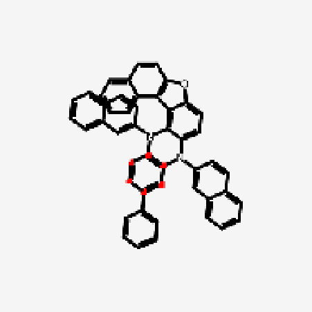 c1ccc(-c2ccc(N(c3ccc4ccccc4c3)c3c(N(c4ccccc4)c4ccc5ccccc5c4)ccc4oc5ccc6ccccc6c5c34)cc2)cc1